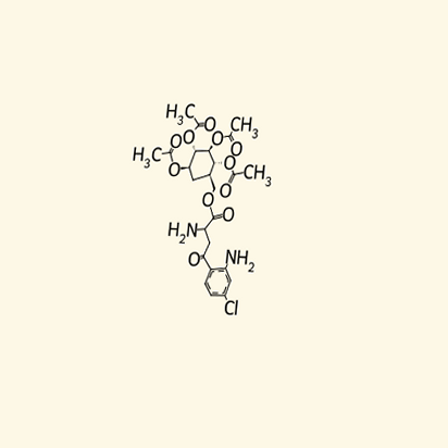 CC(=O)O[C@H]1[C@H](OC(C)=O)[C@@H](COC(=O)C(N)CC(=O)c2ccc(Cl)cc2N)C[C@@H](OC(C)=O)[C@@H]1OC(C)=O